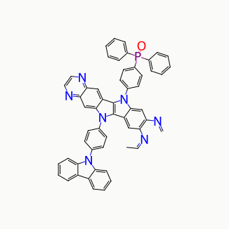 C=Nc1cc2c(cc1/N=C\C)c1c(c3cc4nccnc4cc3n1-c1ccc(-n3c4ccccc4c4ccccc43)cc1)n2-c1ccc(P(=O)(c2ccccc2)c2ccccc2)cc1